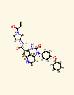 C=CC(=O)N1CCC(NC(=O)c2sc3nccc4c3c2NC(=O)N4c2ccc(Oc3ccccc3)cc2)C1